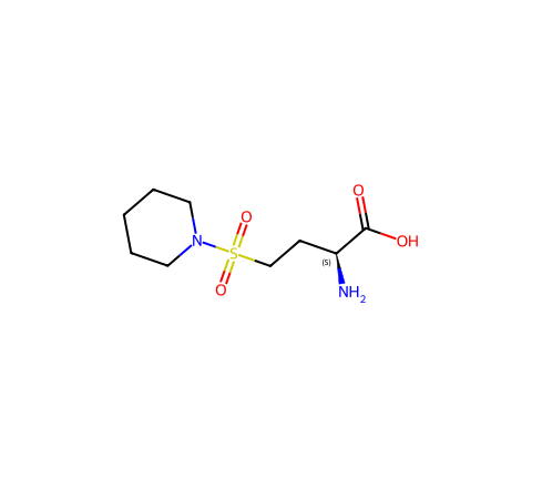 N[C@@H](CCS(=O)(=O)N1CCCCC1)C(=O)O